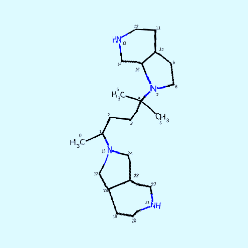 CC(CCC(C)(C)N1CCC2CCNCC21)N1CC2CCNCC2C1